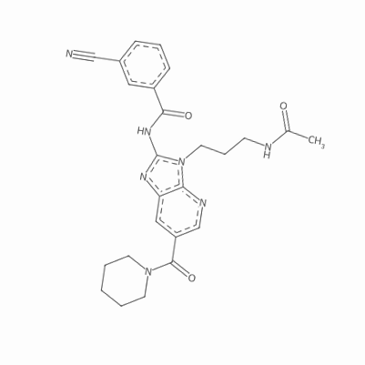 CC(=O)NCCCn1c(NC(=O)c2cccc(C#N)c2)nc2cc(C(=O)N3CCCCC3)cnc21